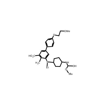 CCN(c1cc(-c2ccc(OCCOC)cc2)cc(C(=O)O)c1C)C1CCC(NC(O)OC(C)(C)C)CC1